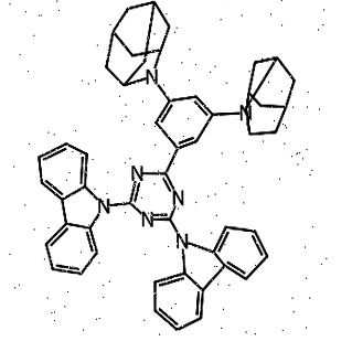 c1ccc2c(c1)c1ccccc1n2-c1nc(-c2cc(N3C4CC5CC(C4)CC3C5)cc(N3C4CC5CC(C4)CC3C5)c2)nc(-n2c3ccccc3c3ccccc32)n1